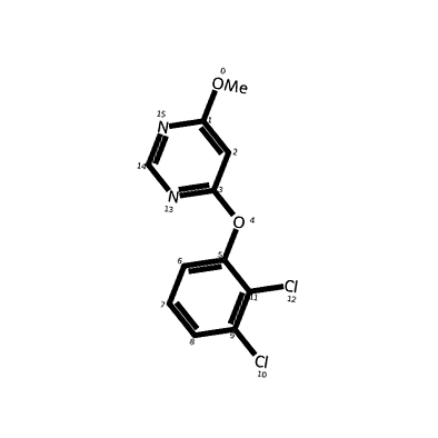 COc1cc(Oc2cccc(Cl)c2Cl)ncn1